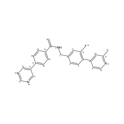 C=C(NCc1ccc(-c2ccnc(C)c2)c(F)c1)c1ccc(-c2cncnc2)cc1